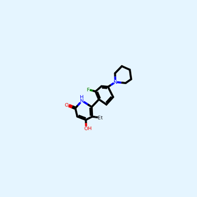 CCc1c(O)cc(=O)[nH]c1-c1ccc(N2CCCCC2)cc1F